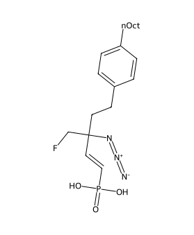 CCCCCCCCc1ccc(CCC(/C=C/P(=O)(O)O)(CF)N=[N+]=[N-])cc1